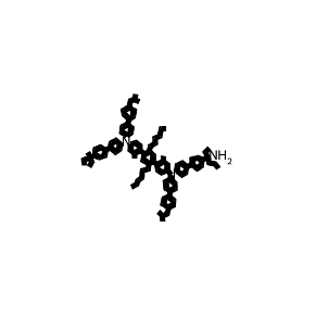 CCCCCCc1cc(-c2ccc(N(c3ccc(-c4ccc(CC(C)C)cc4)cc3)c3ccc(-c4ccc(C(N)(CC)CCC)cc4)cc3)cc2C)c(CCCCCC)cc1-c1ccc(N(c2ccc(-c3ccc(CC(C)C)cc3)cc2)c2ccc(-c3ccc(C(C)(CC)CC)cc3)cc2)cc1C